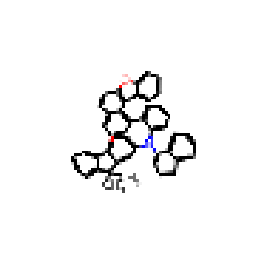 CC1(C)c2ccccc2-c2ccc(N(c3ccccc3-c3cccc4ccc5oc6ccccc6c5c34)c3cccc4ccccc34)cc21